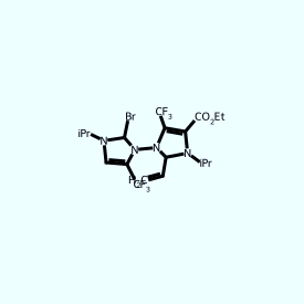 C=CC1N(C(C)C)C(C(=O)OCC)=C(C(F)(F)F)N1N1C(C(F)(F)F)=CN(C(C)C)C1Br